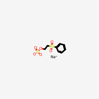 O=S(=O)([O-])OCCS(=O)(=O)c1ccccc1.[Na+]